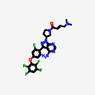 CN(C)C/C=C/C(=O)N1CCC(n2nc(-c3ccc(Oc4c(F)c(F)cc(F)c4F)cc3F)c3c(N)ncnc32)C1